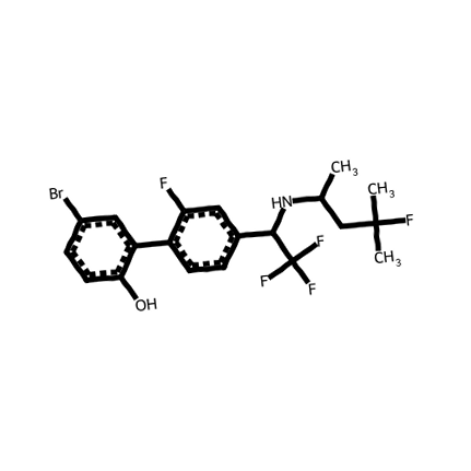 CC(CC(C)(C)F)NC(c1ccc(-c2cc(Br)ccc2O)c(F)c1)C(F)(F)F